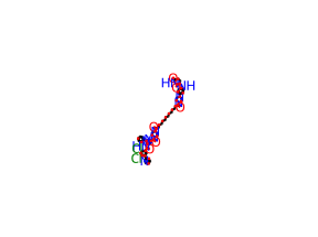 O=C1CCC(Nc2ccc(N3CCN(C(=O)CCCCCCCCCCCCC(=O)N4CCN(C(=O)c5cc(NC(=O)c6cc(-c7ccccn7)c(Cl)cc6Cl)n(-c6ccccc6)n5)CC4)CC3)cc2)C(=O)N1